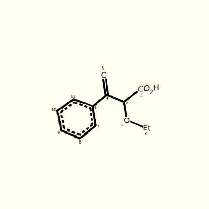 CCOC(C(=O)O)C(=O)c1ccccc1